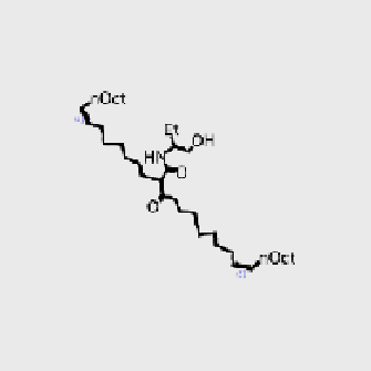 CCCCCCCC/C=C\CCCCCCCC(=O)C(CCCCCC/C=C\CCCCCCCC)C(=O)NC(CC)CO